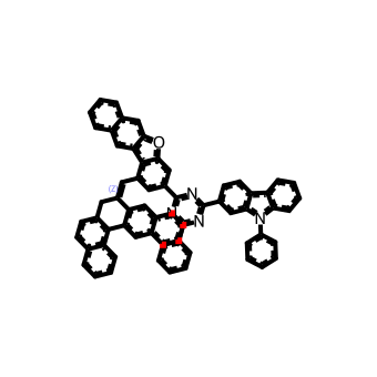 C(=C1\Cc2ccc3ccccc3c2-c2cc3ccccc3cc21)/c1cc(-c2nc(-c3ccccc3)nc(-c3ccc4c5ccccc5n(-c5ccccc5)c4c3)n2)cc2oc3cc4ccccc4cc3c12